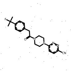 CC(C)(F)c1ccc(CC(=O)N2CCN(c3ccc(C#N)nn3)CC2)cc1